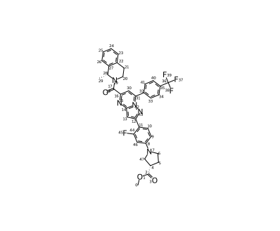 COC(=O)[C@H]1CCN(c2ccc(-c3cc4nc(C(=O)N5CCc6ccccc6[C@H]5C)cc(-c5ccc(C(F)(F)F)cc5)n4n3)c(F)c2)C1